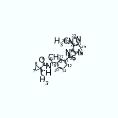 C[C@H](NC(=O)C1(C)CC1)c1cccc(-c2nc3c(ncc4ncn(C)c43)s2)c1